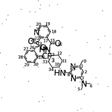 Cc1cc(N(C)C)nc(N[C@H]2CC[C@@H](NC(=O)c3cccnc3S(=O)(=O)c3ccccc3C(F)(F)F)CC2)n1